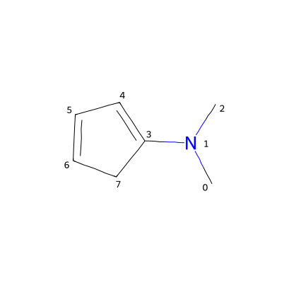 CN(C)C1=CC=CC1